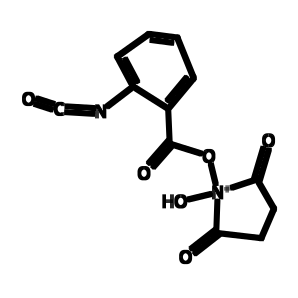 O=C=Nc1ccccc1C(=O)O[N+]1(O)C(=O)CCC1=O